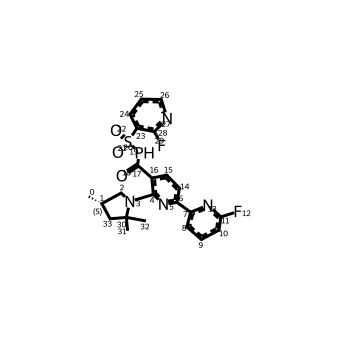 C[C@@H]1CN(c2nc(-c3cccc(F)n3)ccc2C(=O)PS(=O)(=O)c2cccnc2F)C(C)(C)C1